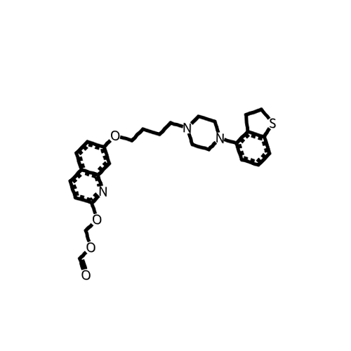 O=COCOc1ccc2ccc(OCCCCN3CCN(c4cccc5c4CCS5)CC3)cc2n1